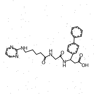 O=C(O)CC(NC(=O)CNC(=O)CCCCNc1ncccn1)c1ccc(-c2ccccc2)cc1